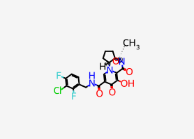 C[C@@H]1CN2C(=O)c3c(O)c(=O)c(C(=O)NCc4ccc(F)c(Cl)c4F)cn3[C@@H]3CCCC32O1